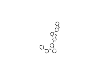 c1ccc(-c2cccc(-n3c4ccccc4c4cc(-c5ccc6oc7c(-c8ccc9oc%10ccccc%10c9c8)cccc7c6c5)ccc43)c2)cc1